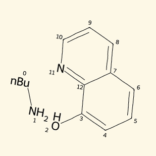 CCCCN.Oc1cccc2cccnc12